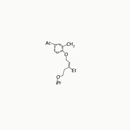 CCC(=CCOc1ccc(C(C)=O)cc1C)CCOC(C)C